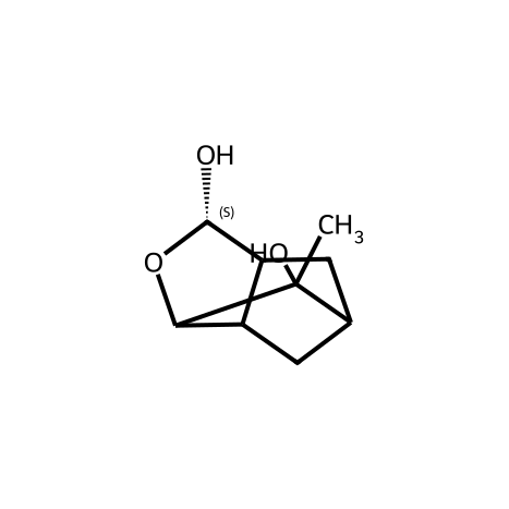 CC1(O)C2CC3C(C2)[C@@H](O)OC31